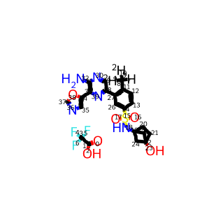 O=C(O)C(F)(F)F.[2H]C([2H])([2H])c1ccc(S(=O)(=O)NC23CCC(O)(C2)C3)cc1-c1cnc(N)c(-c2cnco2)n1